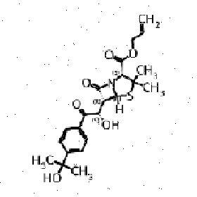 C=CCOC(=O)[C@@H]1N2C(=O)[C@@H]([C@H](O)C(=O)c3ccc(C(C)(C)O)cc3)[C@H]2SC1(C)C